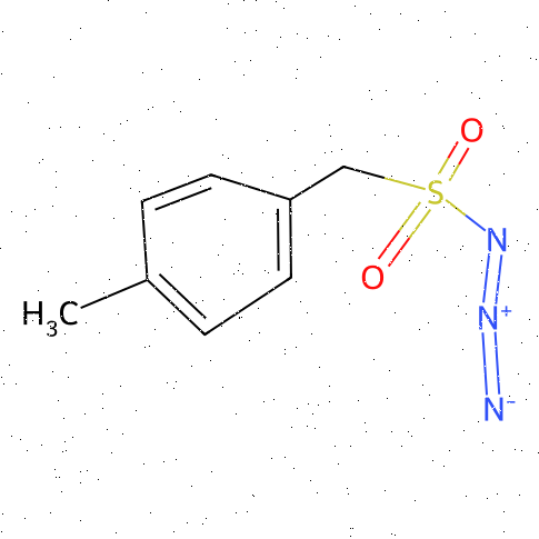 Cc1ccc(CS(=O)(=O)N=[N+]=[N-])cc1